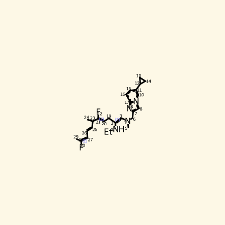 CCN/C(=C\N(C)Cc1cn2cc(C3CC3)ccc2n1)C/C=C(\F)C(C)C=C/C=C(\C)F